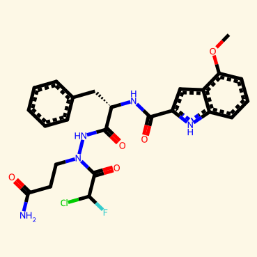 COc1cccc2[nH]c(C(=O)N[C@@H](Cc3ccccc3)C(=O)NN(CCC(N)=O)C(=O)C(F)Cl)cc12